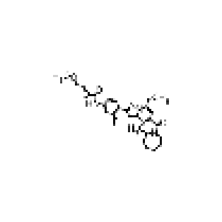 CCc1cc(C(=O)N2CCCCCC2C)nc2cc(-c3ccc(NC(=O)OCCOC)cc3F)nn12